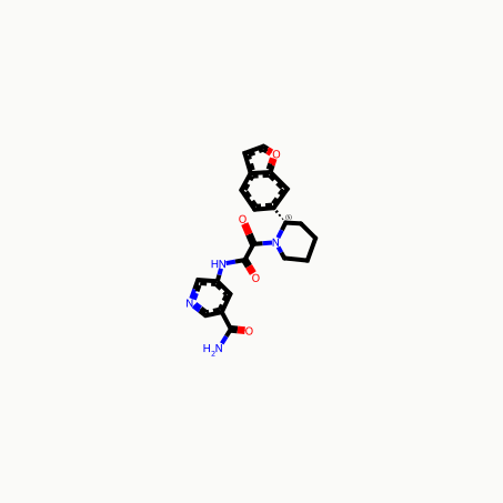 NC(=O)c1cncc(NC(=O)C(=O)N2CCCC[C@H]2c2ccc3ccoc3c2)c1